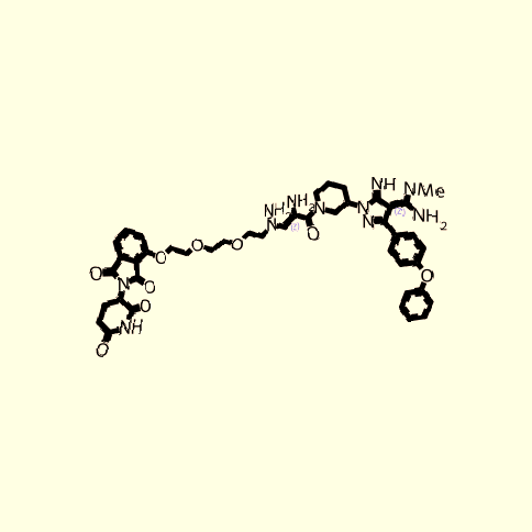 CN/C(N)=C1\C(=N)N(C2CCCN(C(=O)/C(N)=C/N(N)CCOCCOCCOc3cccc4c3C(=O)N(C3CCC(=O)NC3=O)C4=O)C2)N=C1c1ccc(Oc2ccccc2)cc1